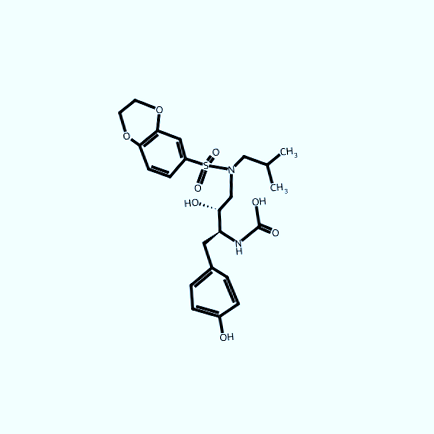 CC(C)CN(C[C@@H](O)[C@H](Cc1ccc(O)cc1)NC(=O)O)S(=O)(=O)c1ccc2c(c1)OCCO2